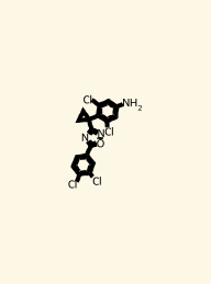 Nc1cc(Cl)c(C2(c3noc(-c4ccc(Cl)c(Cl)c4)n3)CC2)c(Cl)c1